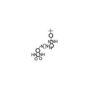 CC(C)(C)c1ccc(-c2nc3c(N4CCN(Cc5ccc6[nH]c(=O)c(=O)[nH]c6c5)CC4)nccc3[nH]2)cc1